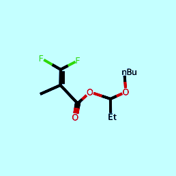 CCCCOC(CC)OC(=O)C(C)=C(F)F